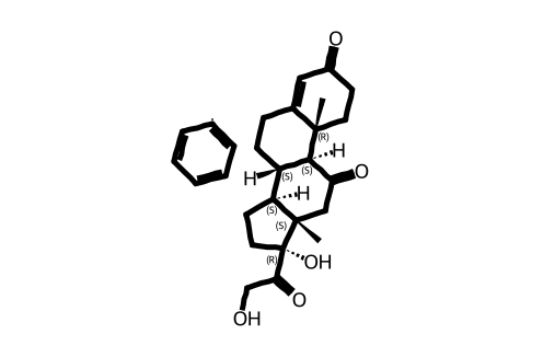 C[C@]12CCC(=O)C=C1CC[C@@H]1[C@@H]2C(=O)C[C@@]2(C)[C@H]1CC[C@]2(O)C(=O)CO.[c]1ccccc1